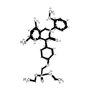 CCOP(=O)(COC1CCC(C2C(=O)N(c3ccccc3OC)Cc3c(C)cc(N)nc32)CC1)OCC